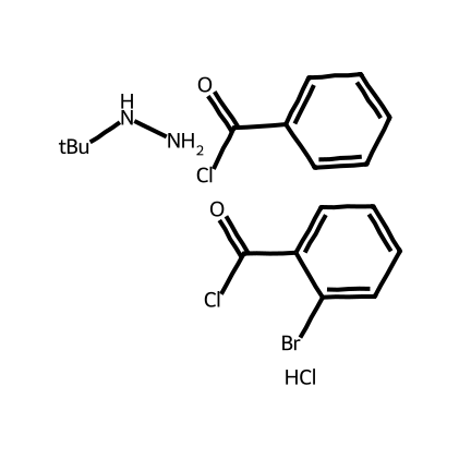 CC(C)(C)NN.Cl.O=C(Cl)c1ccccc1.O=C(Cl)c1ccccc1Br